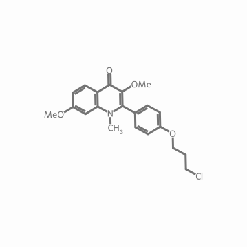 COc1ccc2c(=O)c(OC)c(-c3ccc(OCCCCl)cc3)n(C)c2c1